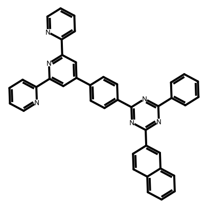 c1ccc(-c2nc(-c3ccc(-c4cc(-c5ccccn5)nc(-c5ccccn5)c4)cc3)nc(-c3ccc4ccccc4c3)n2)cc1